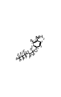 Nc1ccc(OC(F)(F)C(F)OC(F)(F)C(F)(F)C(F)(F)F)cc1F